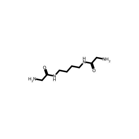 NCC(=O)NCCCCNC(=O)CN